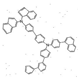 c1ccc(-c2cccc(-c3ccc(N(c4ccc(-c5ccc(N(c6ccc7ccccc7c6)c6cccc7ccccc67)cc5)cc4)c4ccc(-c5cccc6ccccc56)cc4)cc3)c2)cc1